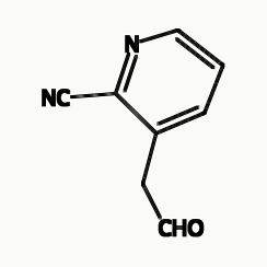 N#Cc1ncccc1CC=O